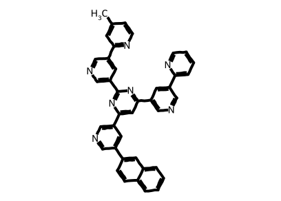 Cc1ccnc(-c2cncc(-c3nc(-c4cncc(-c5ccc6ccccc6c5)c4)cc(-c4cncc(-c5ccccn5)c4)n3)c2)c1